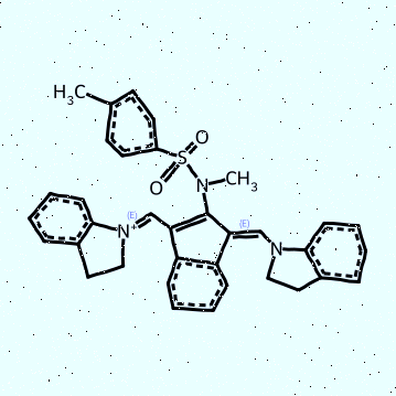 Cc1ccc(S(=O)(=O)N(C)C2=C(/C=[N+]3\CCc4ccccc43)c3ccccc3/C2=C\N2CCc3ccccc32)cc1